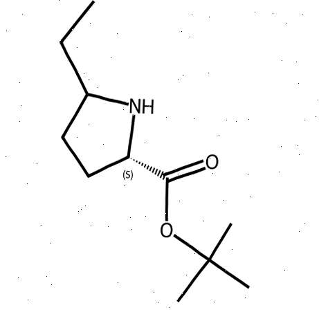 CCC1CC[C@@H](C(=O)OC(C)(C)C)N1